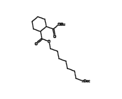 CCCCCCCCCCCCCCCCCOC(=O)C1CCCCC1C(=O)OCC(C)C